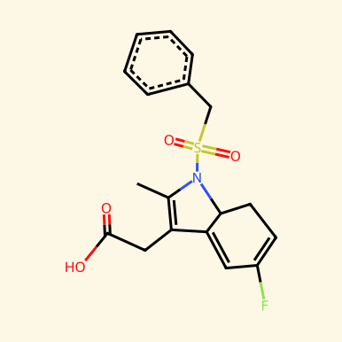 CC1=C(CC(=O)O)C2=CC(F)=CCC2N1S(=O)(=O)Cc1ccccc1